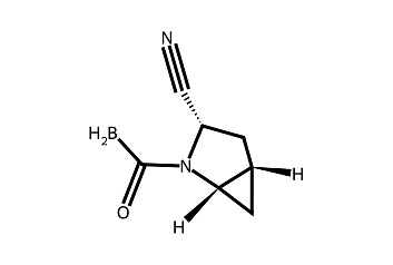 BC(=O)N1[C@H](C#N)C[C@@H]2C[C@@H]21